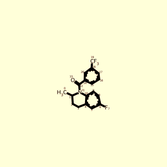 CC1CCc2cc(F)ccc2N1C(=O)c1cccc(C(F)(F)F)c1